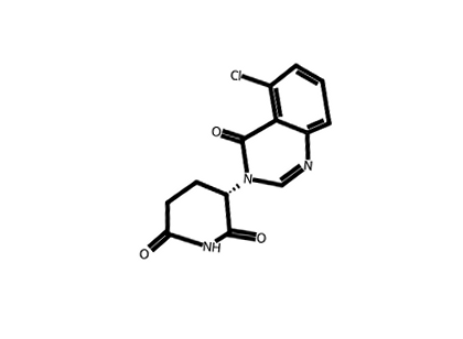 O=C1CC[C@H](n2cnc3cccc(Cl)c3c2=O)C(=O)N1